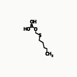 CCCCCSCOB(O)O